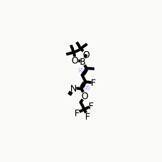 C=N/C(OCC(F)(F)F)=C(F)\C=C(/C)B1OC(C)(C)C(C)(C)O1